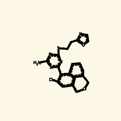 Nc1nc(SCCc2ncco2)nc(-c2c(Cl)cc3c4c(cccc24)COC3)n1